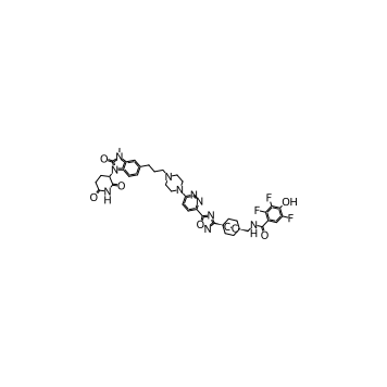 Cn1c(=O)n(C2CCC(=O)NC2=O)c2ccc(CCCN3CCN(c4ccc(-c5nc([C@]67CC[C@](CNC(=O)c8cc(F)c(O)c(F)c8F)(CC6)CC7)no5)nn4)CC3)cc21